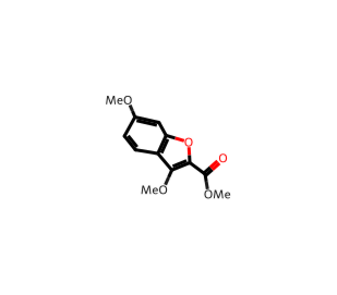 COC(=O)c1oc2cc(OC)ccc2c1OC